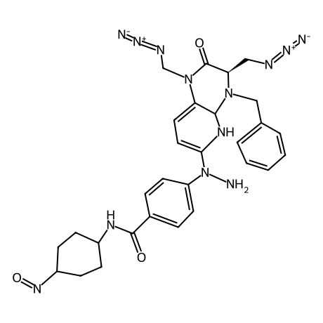 [N-]=[N+]=NC[C@@H]1C(=O)N(CN=[N+]=[N-])C2=CC=C(N(N)c3ccc(C(=O)NC4CCC(N=O)CC4)cc3)NC2N1Cc1ccccc1